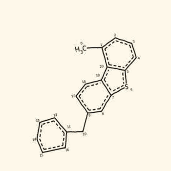 Cc1cccc2sc3cc(Cc4ccccc4)ccc3c12